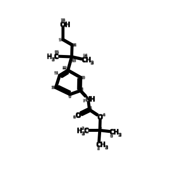 CC(C)(C)OC(=O)Nc1cccc(C(C)(C)CCO)c1